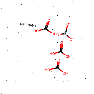 O=C(O)O.O=C(O)O.O=C(O)O.[Na+].[Na+].[Na+].[O-]B([O-])[O-]